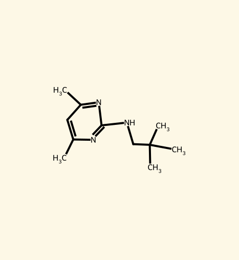 Cc1cc(C)nc(NCC(C)(C)C)n1